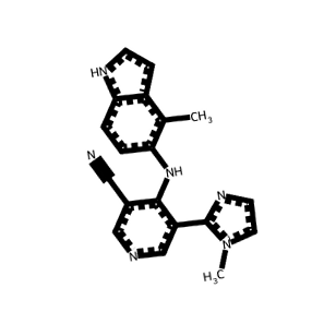 Cc1c(Nc2c(C#N)cncc2-c2nccn2C)ccc2[nH]ccc12